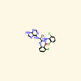 CC[C@H](Nc1ncnc2[nH]cnc12)c1nc2cccc(F)c2c(=O)n1Nc1c(F)cccc1F